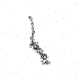 O=CCCOCCOCCOCCOCCNC(=O)c1cnc(N2CCN(c3ncc4c(n3)CCNC4)CC2)nc1